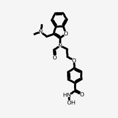 CN(C)Cc1c(N(C=O)CCOc2ccc(C(=O)NO)cc2)oc2ccccc12